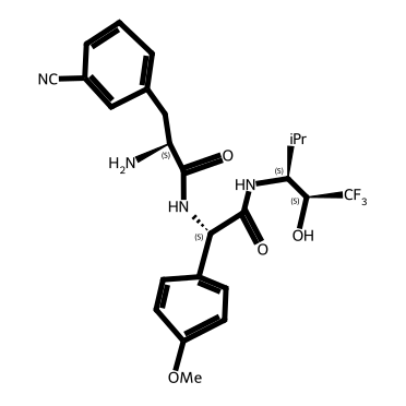 COc1ccc([C@H](NC(=O)[C@@H](N)Cc2cccc(C#N)c2)C(=O)N[C@@H](C(C)C)[C@H](O)C(F)(F)F)cc1